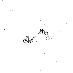 C/C(=N/OCCCCCCO/N=C\c1ccc(C=O)cc1)C(=O)P